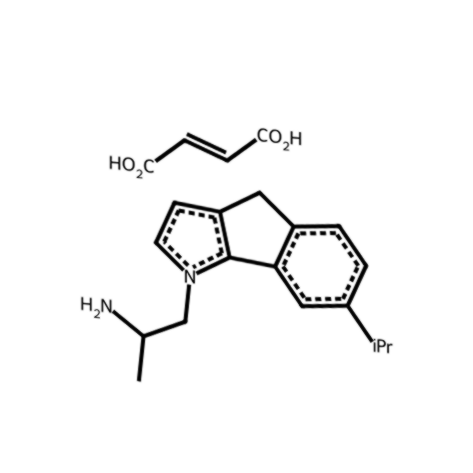 CC(N)Cn1ccc2c1-c1cc(C(C)C)ccc1C2.O=C(O)C=CC(=O)O